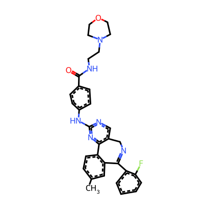 Cc1ccc2c(c1)C(c1ccccc1F)=NCc1cnc(Nc3ccc(C(=O)NCCN4CCOCC4)cc3)nc1-2